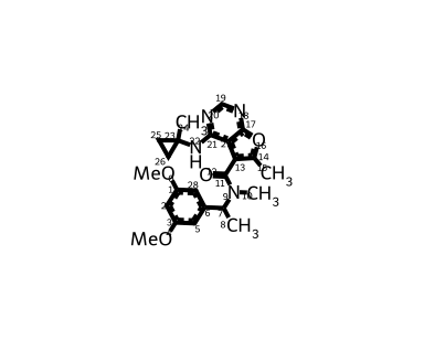 COc1cc(OC)cc(C(C)N(C)C(=O)c2c(C)oc3ncnc(NC4(C)CC4)c23)c1